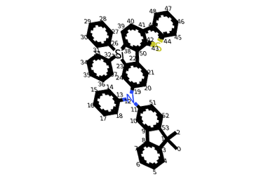 CC1(C)c2ccccc2-c2cc(N(c3ccccc3)c3ccc4c(c3)[Si](c3ccccc3)(c3ccccc3)c3ccc5c(sc6ccccc65)c3-4)ccc21